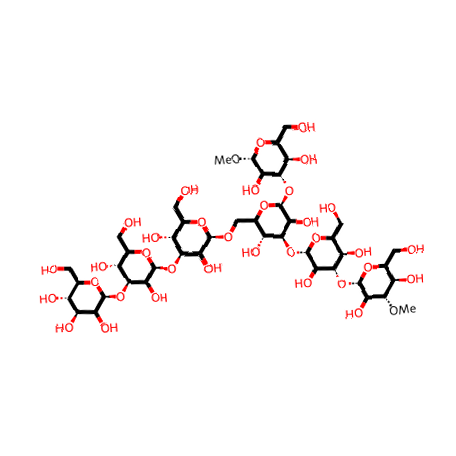 CO[C@@H]1OC(CO)[C@@H](O)[C@H](O[C@@H]2OC(CO[C@@H]3OC(CO)[C@@H](O)[C@H](O[C@@H]4OC(CO)[C@@H](O)[C@H](O[C@@H]5OC(CO)[C@@H](O)[C@H](O)C5O)C4O)C3O)[C@@H](O)[C@H](O[C@@H]3OC(CO)[C@@H](O)[C@H](O[C@@H]4OC(CO)[C@@H](O)[C@H](OC)C4O)C3O)C2O)C1O